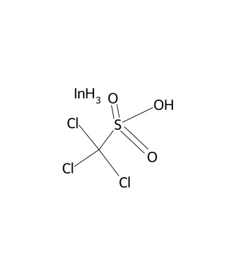 O=S(=O)(O)C(Cl)(Cl)Cl.[InH3]